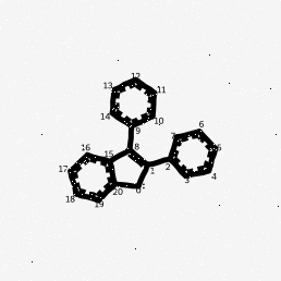 [C]1C(c2ccccc2)=C(c2ccccc2)c2ccccc21